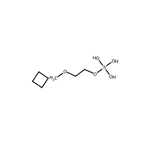 C1CCC1.COCC[O][Ti]([OH])([OH])[OH]